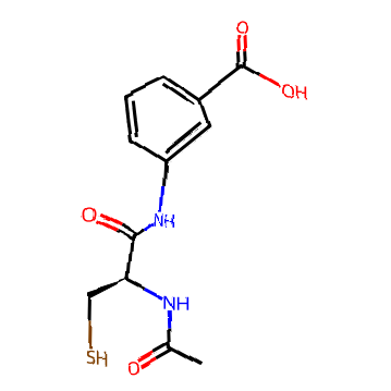 CC(=O)N[C@@H](CS)C(=O)Nc1cccc(C(=O)O)c1